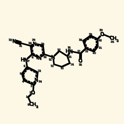 CCOc1ccc(Nc2nc(N3CCCC(NC(=O)c4ccc(OC)cc4)C3)cnc2C#N)cn1